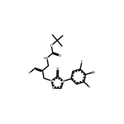 CC(C)(C)OC(=O)NC/C(=C/F)Cn1ncn(-c2cc(F)c(Br)c(F)c2)c1=O